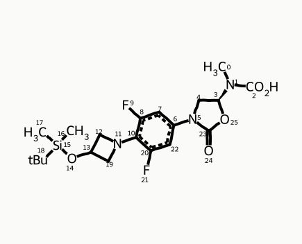 CN(C(=O)O)[C@@H]1CN(c2cc(F)c(N3CC(O[Si](C)(C)C(C)(C)C)C3)c(F)c2)C(=O)O1